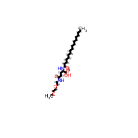 CCCCCCCCCCCCCCCCCC(=O)NC(CCC(=O)NCCOCCOC)C(=O)O